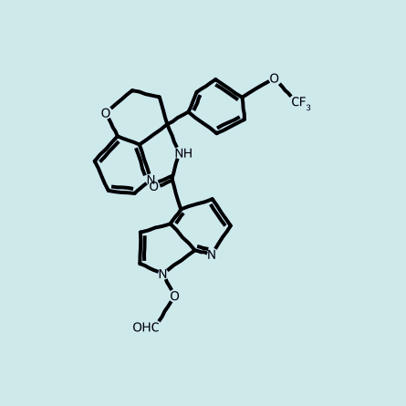 O=COn1ccc2c(C(=O)NC3(c4ccc(OC(F)(F)F)cc4)CCOc4cccnc43)ccnc21